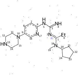 CC/C(=N\C(=N)Nc1ccc(N2CCNCC2)cn1)N(C)C1CCCC1